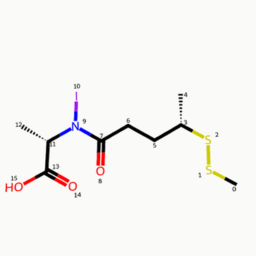 CSS[C@@H](C)CCC(=O)N(I)[C@@H](C)C(=O)O